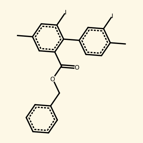 Cc1cc(I)c(-c2ccc(C)c(I)c2)c(C(=O)OCc2ccccc2)c1